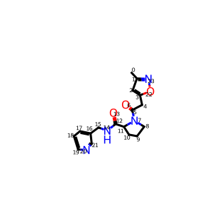 Cc1cc(CC(=O)N2CCCC2C(=O)NCc2cccnc2)on1